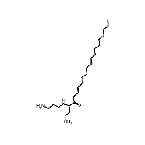 CCCCCCCCC=CCCCCCCCC(=O)C(CCN)NCCCN